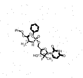 CC(C)OOC(=O)[C@H](C)NP(=O)(OC[C@H]1O[C@@H](n2ccc(=O)[nH]c2=O)[C@](C)(F)[C@@H]1O)Oc1ccccc1